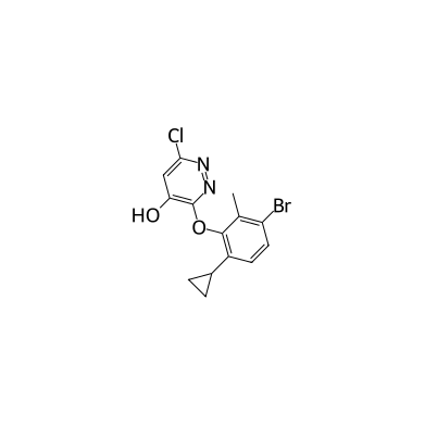 Cc1c(Br)ccc(C2CC2)c1Oc1nnc(Cl)cc1O